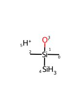 C[Si](C)([O])[SiH3].[H+]